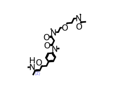 CN/C(C)=C\C(=O)Cc1ccc(N(C)C(=O)CC(=O)N(C)CCOCCCN(C)C(C)=O)cc1